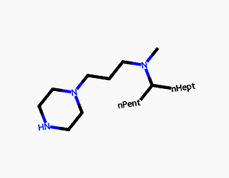 CCCCCCCC(CCCCC)N(C)CCCN1CCNCC1